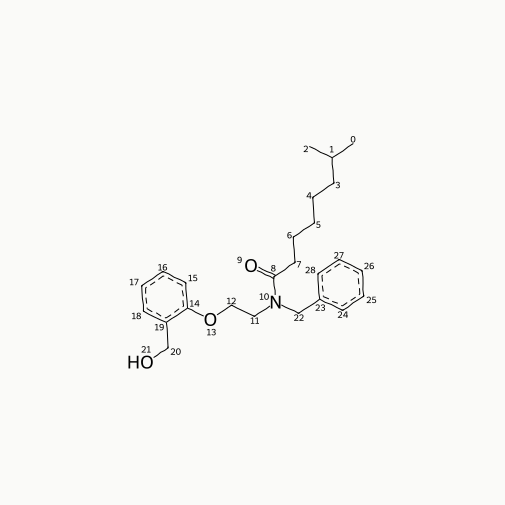 CC(C)CCCCCC(=O)N(CCOc1ccccc1CO)Cc1ccccc1